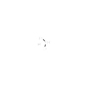 CCPCC.[H+]